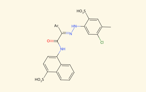 CC(=O)C(=NNc1cc(Cl)c(C)cc1S(=O)(=O)O)C(=O)Nc1ccc(S(=O)(=O)O)c2ccccc12